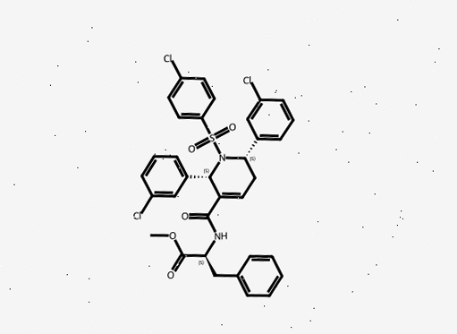 COC(=O)[C@H](Cc1ccccc1)NC(=O)C1=CC[C@@H](c2cccc(Cl)c2)N(S(=O)(=O)c2ccc(Cl)cc2)[C@H]1c1cccc(Cl)c1